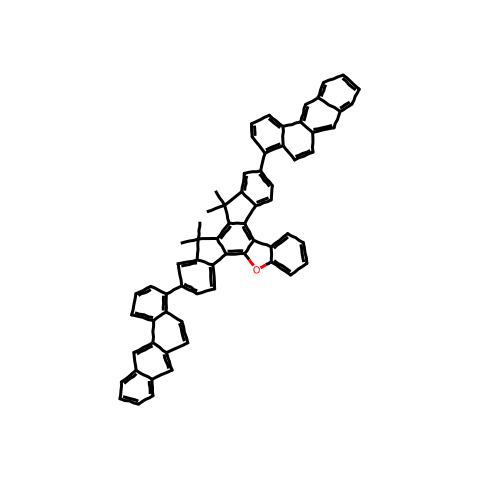 CC1(C)c2cc(-c3cccc4c3ccc3cc5ccccc5cc34)ccc2-c2c1c1c(c3c2oc2ccccc23)-c2ccc(-c3cccc4c3ccc3cc5ccccc5cc34)cc2C1(C)C